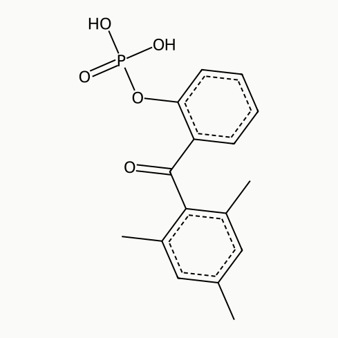 Cc1cc(C)c(C(=O)c2ccccc2OP(=O)(O)O)c(C)c1